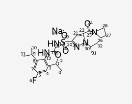 CC(C)c1cc(F)cc(C(C)C)c1NC(=O)NS(=O)(=O)c1cc(C(=O)N2CCC2)n(C(C)C)n1.[Na]